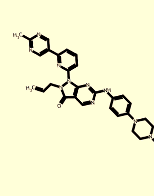 C=CCn1c(=O)c2cnc(Nc3ccc(N4CCN(C)CC4)cc3)nc2n1-c1cccc(-c2cnc(C)nc2)n1